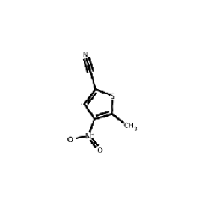 Cc1sc(C#N)[c]c1[N+](=O)[O-]